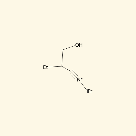 CCC(C#[N+]C(C)C)CO